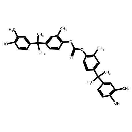 Cc1cc(C(C)(C)c2ccc(OC(=O)Oc3ccc(C(C)(C)c4ccc(O)c(C)c4)cc3C)c(C)c2)ccc1O